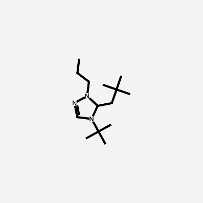 CCCN1N=CN(C(C)(C)C)C1CC(C)(C)C